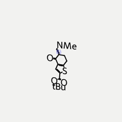 CN/C=C1\CCc2sc(C(=O)OC(C)(C)C)cc2C1=O